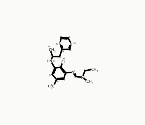 CCN(C)C=Nc1cc(C)cc(NC(C)Cc2cnccn2)c1Cl